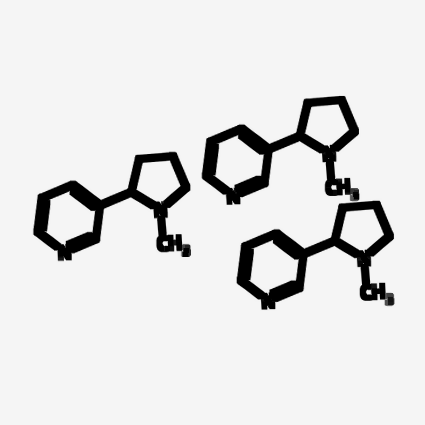 CN1CCCC1c1cccnc1.CN1CCCC1c1cccnc1.CN1CCCC1c1cccnc1